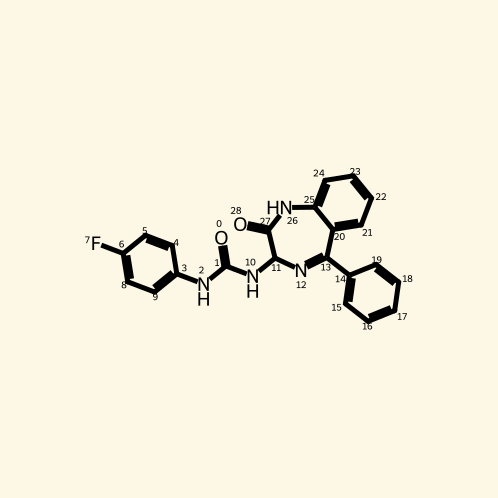 O=C(Nc1ccc(F)cc1)NC1N=C(c2ccccc2)c2ccccc2NC1=O